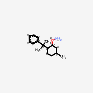 CC1CCC(C(C)(C)c2ccccc2)C(ON)C1